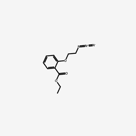 CCOC(=O)c1ccccc1OCCN=[N+]=[N-]